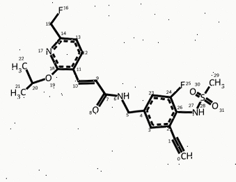 C#Cc1cc(CNC(=O)/C=C/c2ccc(CF)nc2OC(C)C)cc(F)c1NS(C)(=O)=O